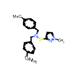 COc1ccc(CN(Cc2ccc(OC)cc2)Sc2ccn(C)n2)cc1